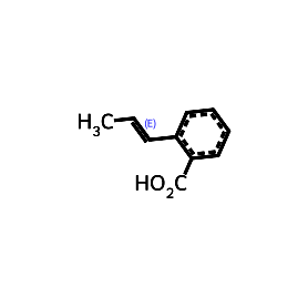 C/C=C/c1ccccc1C(=O)O